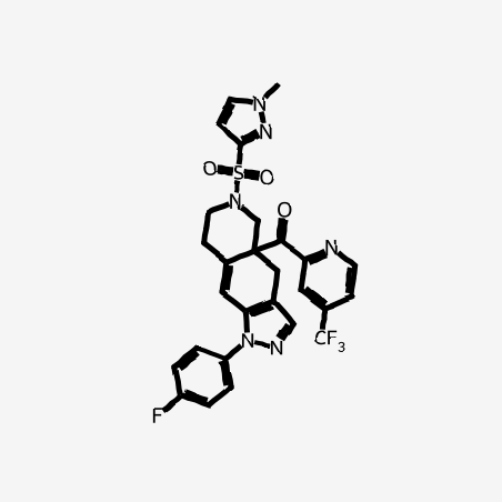 Cn1ccc(S(=O)(=O)N2CCC3=Cc4c(cnn4-c4ccc(F)cc4)CC3(C(=O)c3cc(C(F)(F)F)ccn3)C2)n1